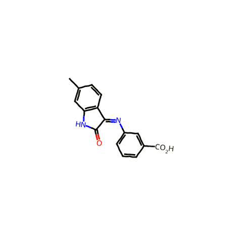 Cc1ccc2c(c1)NC(=O)/C2=N\c1cccc(C(=O)O)c1